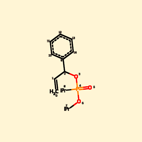 C=CC(OP(=O)(OC(C)C)C(C)C)c1ccccc1